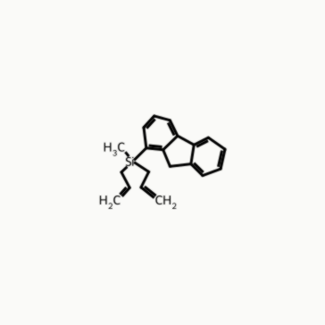 C=CC[Si](C)(CC=C)c1cccc2c1Cc1ccccc1-2